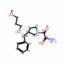 COCCCO[C@@H](c1ccccc1)C1CCN(C(=O)C(N)=O)C1